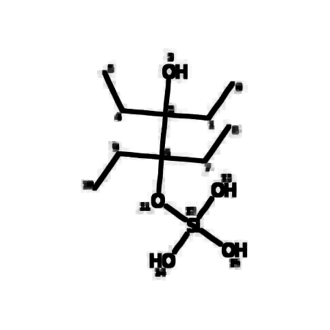 CCC(O)(CC)C(CC)(CC)O[Si](O)(O)O